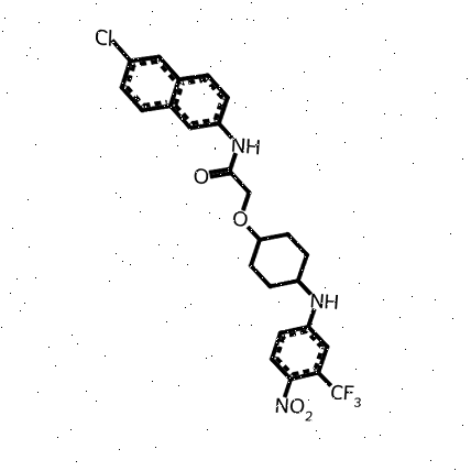 O=C(COC1CCC(Nc2ccc([N+](=O)[O-])c(C(F)(F)F)c2)CC1)Nc1ccc2cc(Cl)ccc2c1